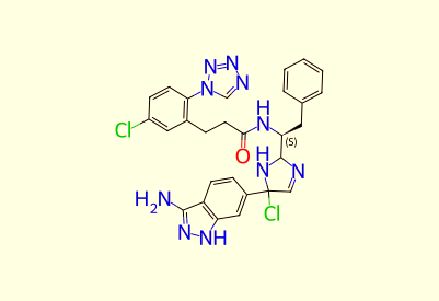 Nc1n[nH]c2cc(C3(Cl)C=NC([C@H](Cc4ccccc4)NC(=O)CCc4cc(Cl)ccc4-n4cnnn4)N3)ccc12